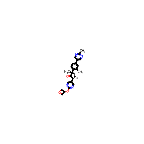 Cc1ncc(-c2ccc(C(C)(C)C(=O)Cc3cnc(OC4COC4)nc3)c(C)c2)cn1